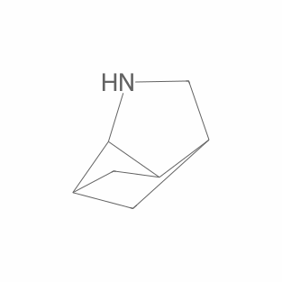 C1NC2C3CC1C2C3